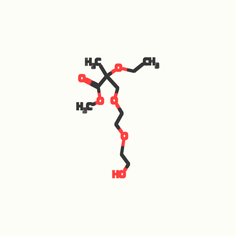 CCOC(C)(COCCOCCO)C(=O)OC